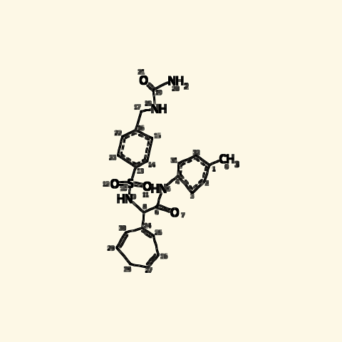 Cc1ccc(NC(=O)C(NS(=O)(=O)c2ccc(CNC(N)=O)cc2)C2=CC=CCC=C2)cc1